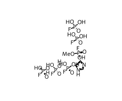 COP(=O)(O)F.O=P(O)(O)F.O=P(O)(O)F.O=P(O)(O)F.O=P(O)(O)F.O=P(O)(O)F.c1c[nH]cn1